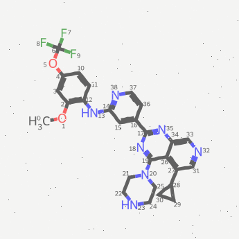 COc1cc(OC(F)(F)F)ccc1Nc1cc(-c2nc(N3CCNCC3)c3c(C4CC4)cncc3n2)ccn1